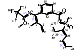 C=C/C(C)=C(/N=C(\OC)C(F)(F)F)c1cccc(C(=O)N=S(C)(=O)/C(=C/C=C\C)[C@H](C)F)c1